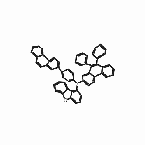 c1ccc(-c2c(-c3ccccc3)c3cc(N(c4ccc(-c5ccc6c(ccc7ccccc76)c5)cc4)c4cccc5oc6ccccc6c45)ccc3c3ccccc23)cc1